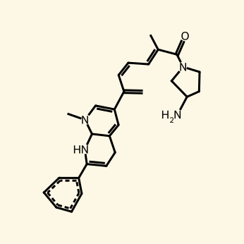 C=C(/C=C\C=C(/C)C(=O)N1CCC(N)C1)C1=CN(C)C2NC(c3ccccc3)=CCC2=C1